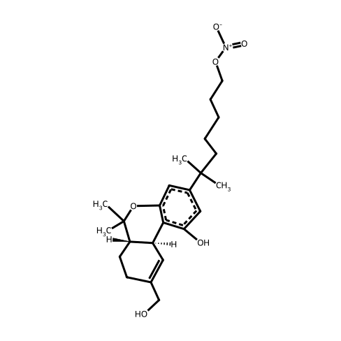 CC(C)(CCCCCO[N+](=O)[O-])c1cc(O)c2c(c1)OC(C)(C)[C@H]1CCC(CO)=C[C@H]21